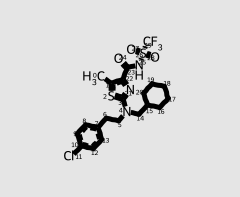 Cc1sc(N(CCc2ccc(Cl)cc2)CC2CCCCC2)nc1C(=O)NS(=O)(=O)C(F)(F)F